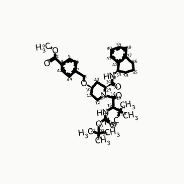 COC(=O)c1ccc(CO[C@@H]2CCN(C(=O)C(NC(=O)OC(C)(C)C)C(C)(C)C)[C@H](C(=O)N[C@@H]3CCCc4ccccc43)C2)cc1